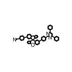 N#Cc1ccc(-c2ccc3c(c2)C2(c4ccccc4Oc4ccc(-c5ccc(-c6nc(-c7ccccc7)cc(-c7ccccc7)n6)cc5)cc42)c2ccccc2-3)cc1